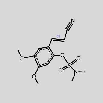 COc1cc(/C=C/C#N)c(OS(=O)(=O)N(C)C)cc1OC